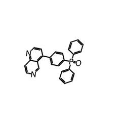 O=P(c1ccccc1)(c1ccccc1)c1ccc(-c2ccnc3ccncc23)cc1